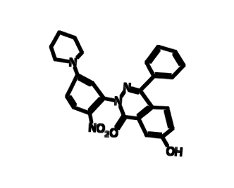 O=c1c2cc(O)ccc2c(-c2ccccc2)nn1-c1cc(N2CCCCC2)ccc1[N+](=O)[O-]